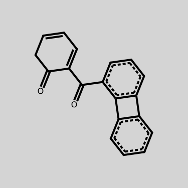 O=C1CC=CC=C1C(=O)c1cccc2c1-c1ccccc1-2